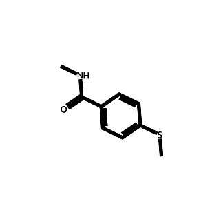 CNC(=O)c1ccc(SC)cc1